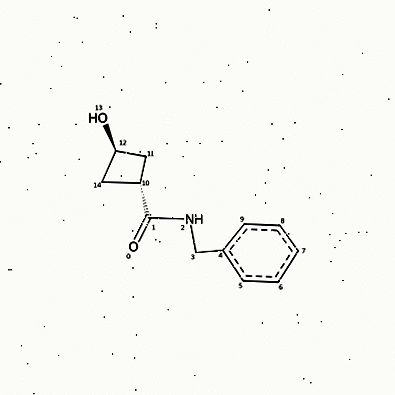 O=C(NCc1ccccc1)[C@H]1C[C@H](O)C1